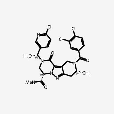 CNC(=O)[C@@H]1CN([C@H](C)c2ccc(Cl)nc2)C(=O)c2c3c(nn21)C[C@@H](C)N(C(=O)c1ccc(Cl)c(Cl)c1)C3